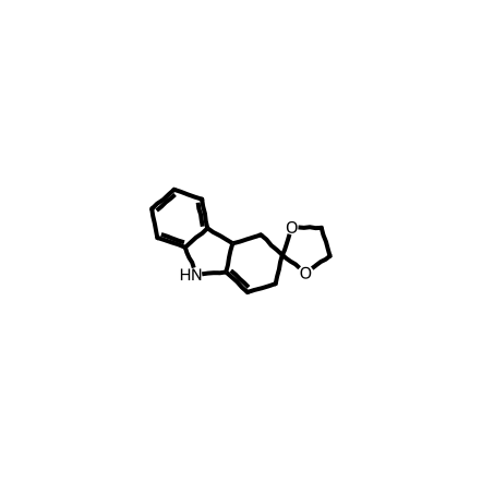 C1=C2Nc3ccccc3C2CC2(C1)OCCO2